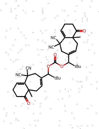 CC12CC=C(C(OC(=O)OC(C3=CCC4(C)C(=O)CCC=C4C(C#N)(C#N)C3)C(C)(C)C)C(C)(C)C)CC(C#N)(C#N)C1=CCCC2=O